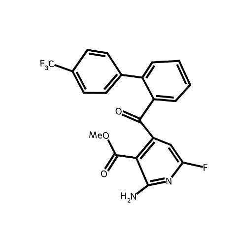 COC(=O)c1c(C(=O)c2ccccc2-c2ccc(C(F)(F)F)cc2)cc(F)nc1N